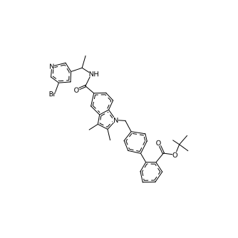 Cc1c(C)n(Cc2ccc(-c3ccccc3C(=O)OC(C)(C)C)cc2)c2ccc(C(=O)NC(C)c3cncc(Br)c3)cc12